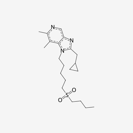 CCCCS(=O)(=O)CCCCCn1c(CC2CC2)nc2cnc(C)c(C)c21